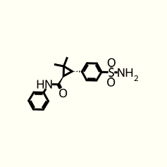 CC1(C)[C@H](C(=O)Nc2ccccc2)[C@H]1c1ccc(S(N)(=O)=O)cc1